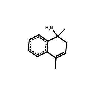 CC1=CCC(C)(N)c2ccccc21